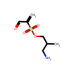 C=C(C=O)S(=O)(=O)OCC(C)CN